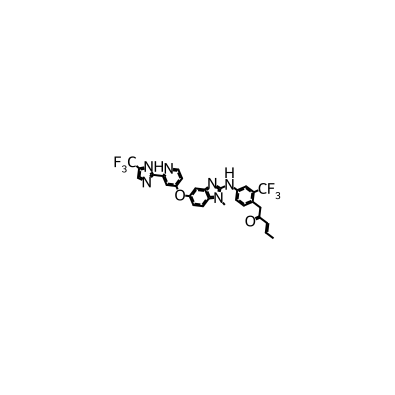 C/C=C/C(=O)Cc1ccc(Nc2nc3cc(Oc4ccnc(-c5ncc(C(F)(F)F)[nH]5)c4)ccc3n2C)cc1C(F)(F)F